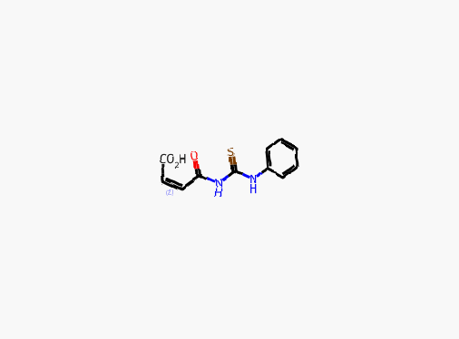 O=C(O)/C=C\C(=O)NC(=S)Nc1ccccc1